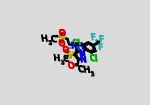 CCS(=O)(=O)CCNc1c([S+](C)[O-])c(C(C)=O)nn1-c1c(Cl)cc(C(F)(F)F)cc1Cl